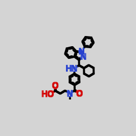 CN(CCC(=O)O)C(=O)c1ccc(NC(c2nn(-c3ccccc3)c3ccccc23)C2CCCCC2)cc1